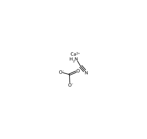 N#CN.O=C([O-])[O-].[Ca+2]